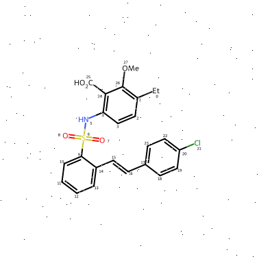 CCc1ccc(NS(=O)(=O)c2ccccc2/C=C/c2ccc(Cl)cc2)c(C(=O)O)c1OC